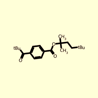 CC(C)(C)CCC(C)(C)OC(=O)c1ccc(C(=O)C(C)(C)C)cc1